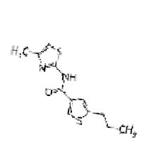 CCCc1cc(C(=O)Nc2nc(C)cs2)cs1